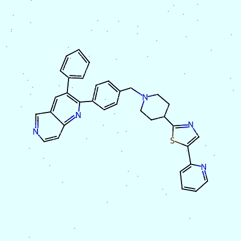 c1ccc(-c2cc3cnccc3nc2-c2ccc(CN3CCC(c4ncc(-c5ccccn5)s4)CC3)cc2)cc1